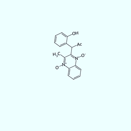 CC(=O)C(c1ccccc1O)c1c(C)[n+]([O-])c2ccccc2[n+]1[O-]